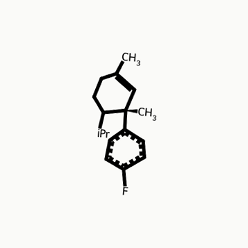 CC1=C[C@](C)(c2ccc(F)cc2)C(C(C)C)CC1